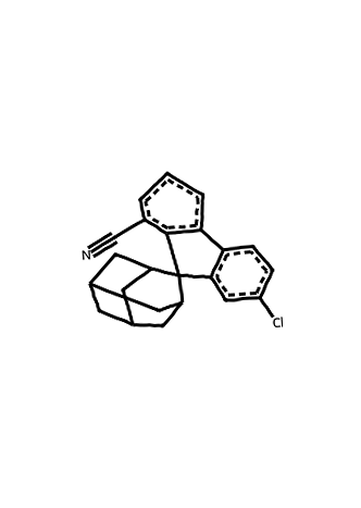 N#Cc1cccc2c1C1(c3cc(Cl)ccc3-2)C2CC3CC(C2)CC1C3